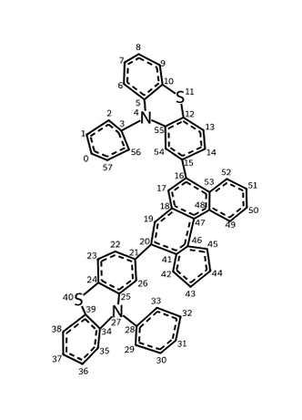 c1ccc(N2c3ccccc3Sc3ccc(-c4cc5cc(-c6ccc7c(c6)N(c6ccccc6)c6ccccc6S7)c6ccccc6c5c5ccccc45)cc32)cc1